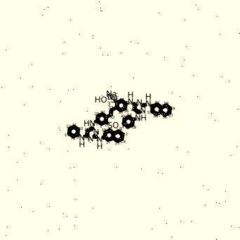 O=S(=O)(O)c1cc(Nc2cc(Nc3ccccc3)nc(Nc3ccc4ccccc4c3)n2)ccc1C=Cc1ccc(Nc2cc(Nc3ccccc3)nc(Nc3ccc4ccccc4c3)n2)cc1S(=O)(=O)O.[Na].[Na]